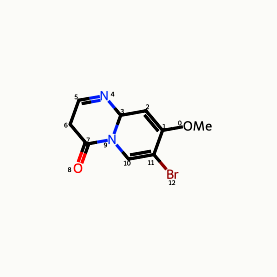 COC1=CC2N=CCC(=O)N2C=C1Br